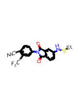 CCSNc1ccc2c(c1)C(=O)N(c1ccc(C#N)c(C(F)(F)F)c1)C2=O